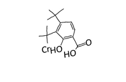 CC(C)(C)c1ccc(C(=O)O)c(O)c1C(C)(C)C.[Cr]